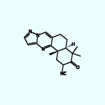 [C-]#[N+]C1C[C@]2(C)c3nc4ccnn4cc3CC[C@H]2C(C)(C)C1=O